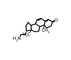 C[C@]12CCC(=O)C=C1C=CC1C2CC[C@@]2(C)C1CC[C@@H]2CCN